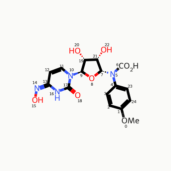 COc1ccc(N(C(=O)O)[C@@H]2O[C@@H](n3cc/c(=N/O)[nH]c3=O)[C@H](O)[C@@H]2O)cc1